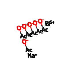 CC(=O)[O-].CC(=O)[O-].CC(=O)[O-].CC(=O)[O-].CC(=O)[O-].CC(=O)[O-].[Bi+5].[Na+]